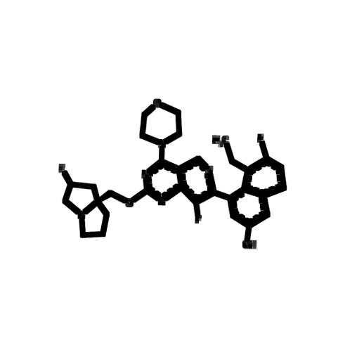 CCc1c(F)ccc2cc(O)cc(-c3ncc4c(N5CCOCC5)nc(OC[C@@]56CCCN5CC(F)C6)nc4c3F)c12